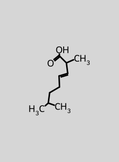 CC(C)CC/C=C/C(C)C(=O)O